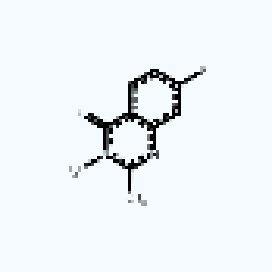 Cc1nc2cc(F)ccc2c(=O)n1C